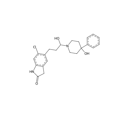 O=C1Cc2cc(CCC(O)N3CCC(O)(c4ccccc4)CC3)c(Cl)cc2N1